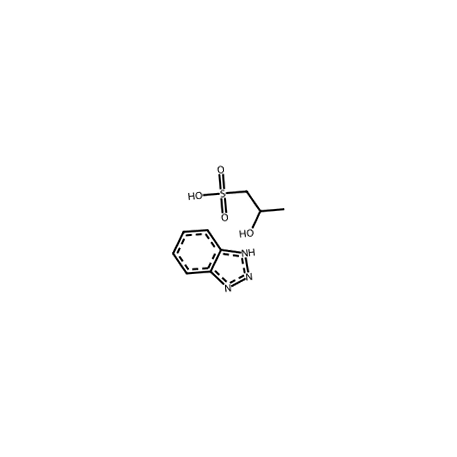 CC(O)CS(=O)(=O)O.c1ccc2[nH]nnc2c1